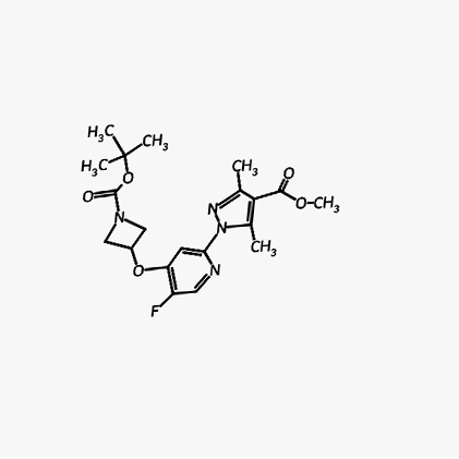 COC(=O)c1c(C)nn(-c2cc(OC3CN(C(=O)OC(C)(C)C)C3)c(F)cn2)c1C